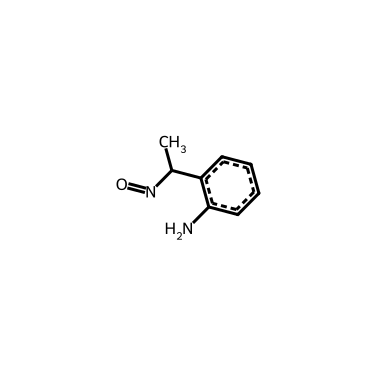 CC(N=O)c1ccccc1N